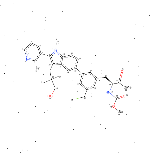 CCn1c(-c2cccnc2C(C)C)c(CC(C)(C)CO)c2cc(-c3cc(CF)cc(C[C@H](NC(=O)OC(C)(C)C)C(=O)OC)c3)ccc21